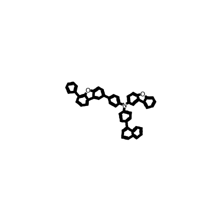 c1ccc(-c2cccc3c2oc2ccc(-c4ccc(N(c5ccc(-c6cccc7ccccc67)cc5)c5ccc6oc7ccccc7c6c5)cc4)cc23)cc1